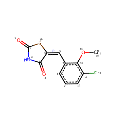 O=C1NC(=O)/C(=C\c2cccc(F)c2OC(F)(F)F)S1